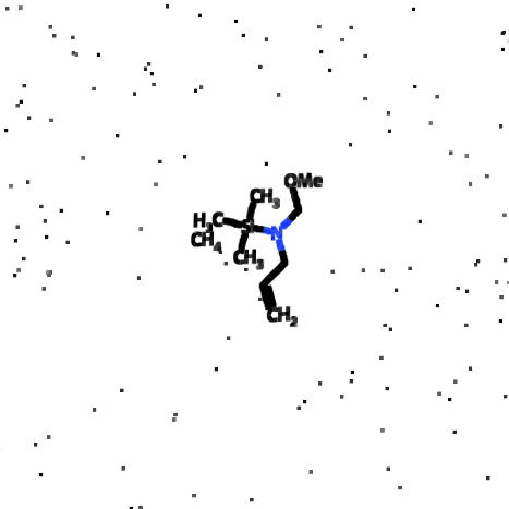 C.C=CCN(COC)[Si](C)(C)C